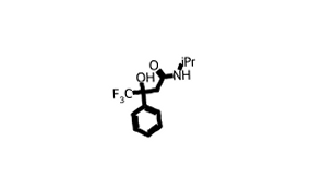 CC(C)NC(=O)CC(O)(c1ccccc1)C(F)(F)F